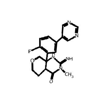 CN1C(=N)NC2(c3cc(-c4cncnc4)ccc3F)COCCC2C1=O